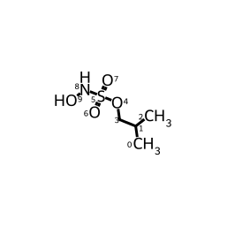 CC(C)COS(=O)(=O)NO